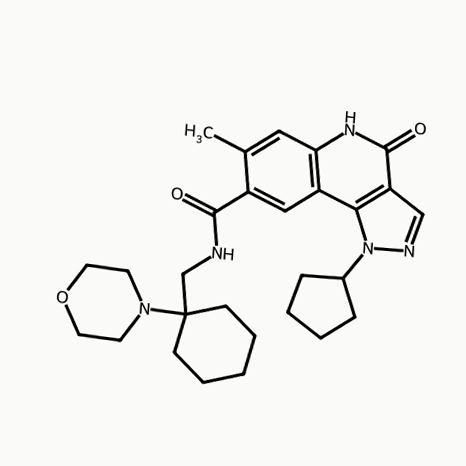 Cc1cc2[nH]c(=O)c3cnn(C4CCCC4)c3c2cc1C(=O)NCC1(N2CCOCC2)CCCCC1